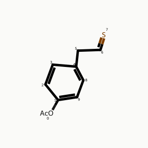 CC(=O)Oc1ccc(CC=S)cc1